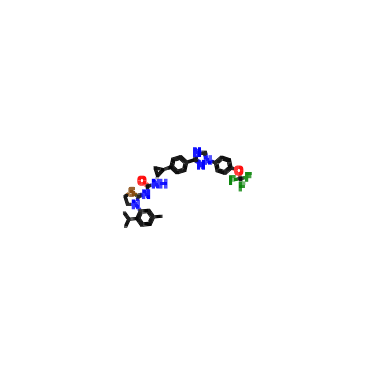 Cc1ccc(C(C)C)c(N2CCS/C2=N\C(=O)N[C@@H]2C[C@H]2c2ccc(-c3ncn(-c4ccc(OC(F)(F)F)cc4)n3)cc2)c1